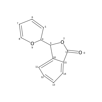 O=C1OC(C2C=CC=CO2)c2ccccc21